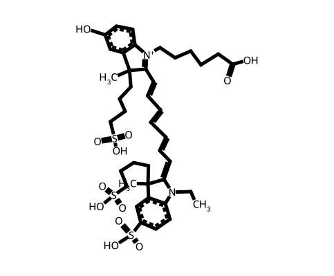 CCN1/C(=C/C=C/C=C/C=C/C2=[N+](CCCCCC(=O)O)c3ccc(O)cc3C2(C)CCCCS(=O)(=O)O)C(C)(CCCCS(=O)(=O)O)c2cc(S(=O)(=O)O)ccc21